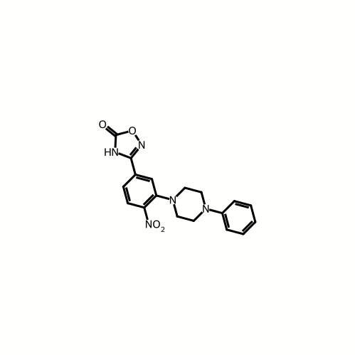 O=c1[nH]c(-c2ccc([N+](=O)[O-])c(N3CCN(c4ccccc4)CC3)c2)no1